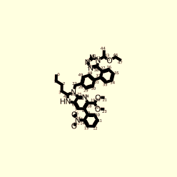 CCCCC1Nc2cc(-c3ccccc3[N+](=O)[O-])c(C(OC)OC)nc2N1Cc1ccc(-c2ccccc2-c2nnnn2C(C)OCC)cc1